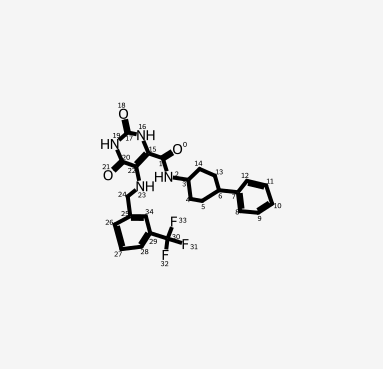 O=C(NC1CCC(c2ccccc2)CC1)c1[nH]c(=O)[nH]c(=O)c1NCc1cccc(C(F)(F)F)c1